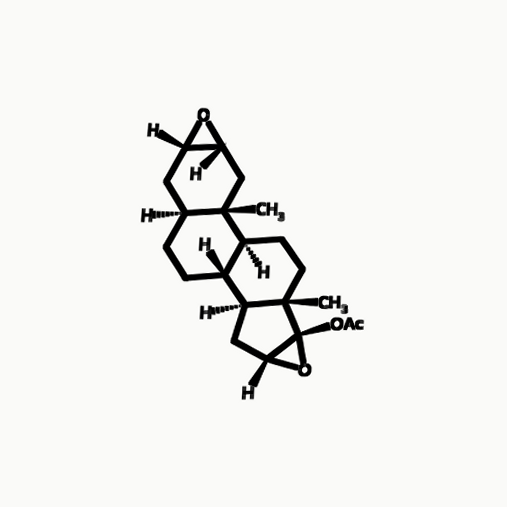 CC(=O)O[C@@]12O[C@@H]1C[C@H]1[C@@H]3CC[C@H]4C[C@@H]5O[C@@H]5C[C@]4(C)[C@H]3CC[C@@]12C